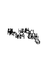 C[C@@H](COCc1nnnn1C)NC1CCC(Nc2cc(-c3cccc(NCC4(C#N)CCOCC4)n3)c(Cl)cn2)CC1